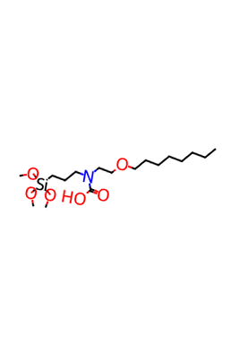 CCCCCCCCOCCN(CCC[Si](OC)(OC)OC)C(=O)O